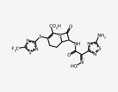 Nc1nc(/C(=N/O)C(=O)NC2C(=O)N3C(C(=O)O)=C(Sc4nsc(C(F)(F)F)n4)CCC23)ns1